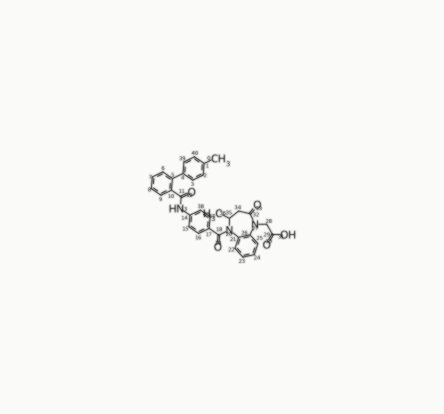 Cc1ccc(-c2ccccc2C(=O)Nc2ccc(C(=O)N3c4ccccc4N(CC(=O)O)C(=O)CC3C)cc2)cc1